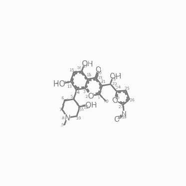 Cc1oc2c(C3CCN(C)CC3O)c(O)cc(O)c2c(=O)c1C(O)c1ccc(N=O)o1